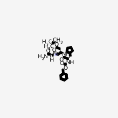 CC(C)(C)OC(=O)C[C@@H](/C=N/NC(N)=O)NC(=O)[C@H](CC1CCCC1)NC(=O)OCc1ccccc1